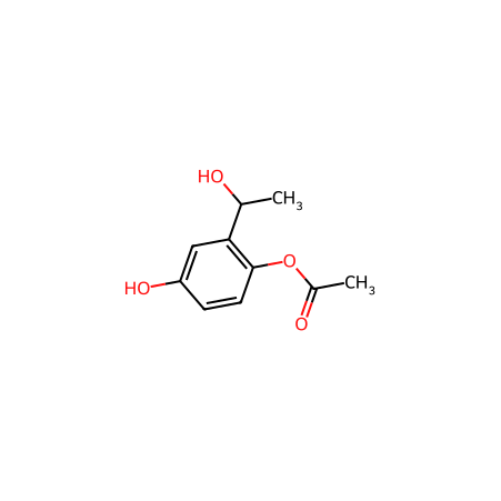 CC(=O)Oc1ccc(O)cc1C(C)O